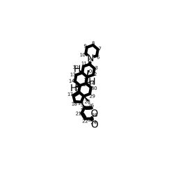 C[C@]12CCC(N3CCCCC3)C[C@H]1CC[C@H]1C3=CC[C@H](c4ccc(=O)oc4)[C@@]3(C)CC[C@@H]12